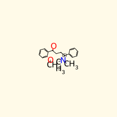 COc1ccccc1C(=O)CC[C@@H](c1ccccc1)N(C)C